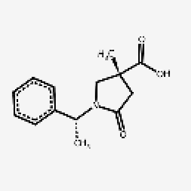 C[C@H](c1ccccc1)N1C[C@](C)(C(=O)O)CC1=O